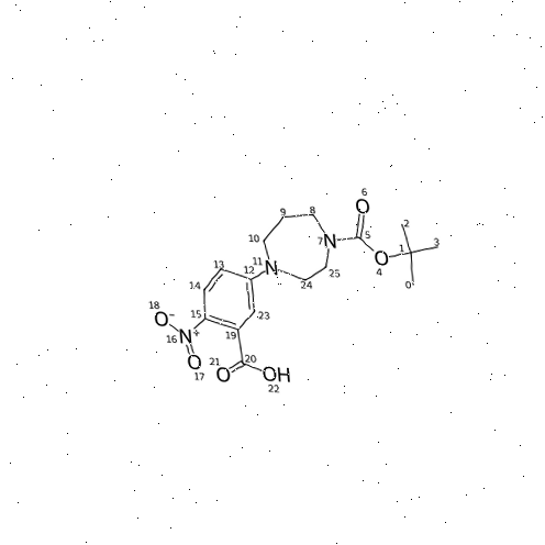 CC(C)(C)OC(=O)N1CCCN(c2ccc([N+](=O)[O-])c(C(=O)O)c2)CC1